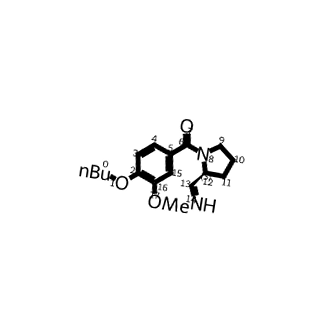 CCCCOc1ccc(C(=O)N2CCC[C@H]2C=N)cc1OC